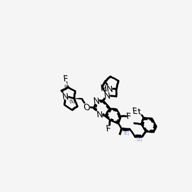 CCc1cccc(/C=C\C=C(/C)c2c(F)cc3c(N4CC5CCC(C4)N5)nc(OC[C@@]45CCCN4C[C@H](F)C5)nc3c2F)c1C